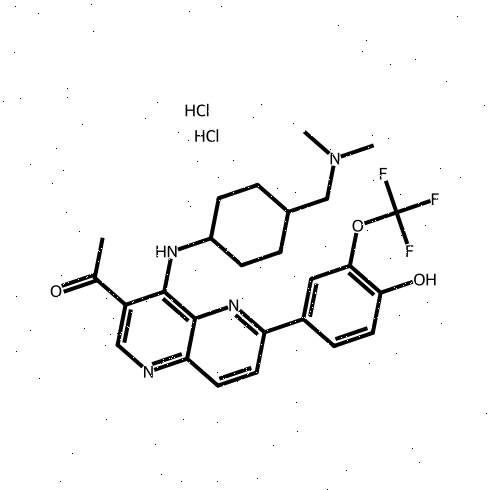 CC(=O)c1cnc2ccc(-c3ccc(O)c(OC(F)(F)F)c3)nc2c1NC1CCC(CN(C)C)CC1.Cl.Cl